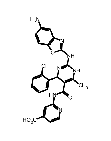 CC1=C(C(=O)Nc2cc(C(=O)O)ccn2)C(c2ccccc2Cl)N=C(Nc2nc3cc(N)ccc3o2)N1